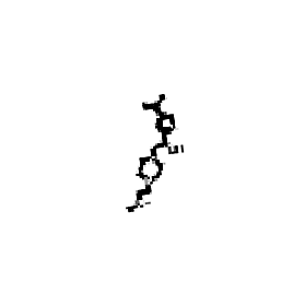 CNCCN1CCN(CC(O)c2cc(C(C)C)cs2)CC1